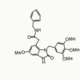 COc1cc(CC(=O)NCc2ccccc2)c2c(c1)[nH]c(=O)n2Cc1cc(OC)c(OC)c(OC)c1